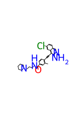 Cc1cc(C(=O)NCCCN2CCCCC2)ccc1C#Cc1c(N)ncc2ccc(Cl)cc12